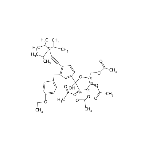 CCOc1ccc(Cc2cc(C3(O)O[C@H](COC(C)=O)[C@@H](OC(C)=O)[C@H](OC(C)=O)[C@H]3OC(C)=O)ccc2C#C[Si](C(C)C)(C(C)C)C(C)C)cc1